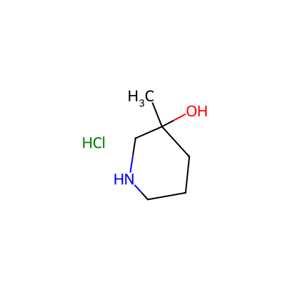 CC1(O)CCCNC1.Cl